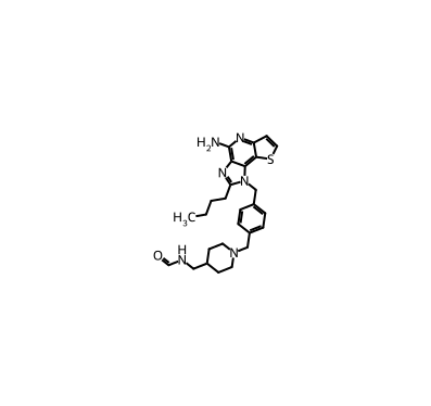 CCCCc1nc2c(N)nc3ccsc3c2n1Cc1ccc(CN2CCC(CNC=O)CC2)cc1